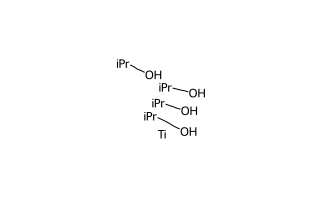 CC(C)O.CC(C)O.CC(C)O.CC(C)O.[Ti]